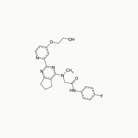 CN(CC(=O)Nc1ccc(F)cc1)c1nc(-c2cc(OCCO)ccn2)nc2c1CCC2